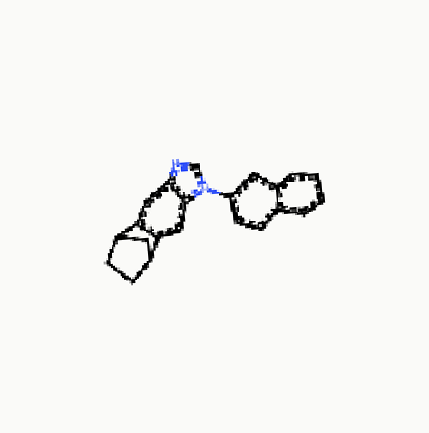 c1ccc2cc(-n3cnc4cc5c(cc43)C3CCC5C3)ccc2c1